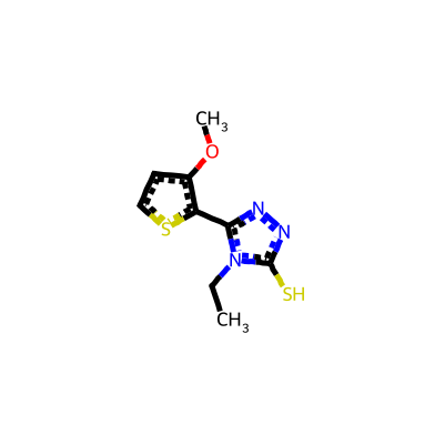 CCn1c(S)nnc1-c1sccc1OC